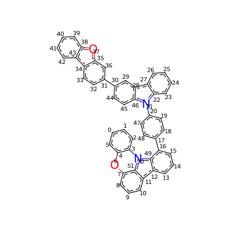 c1ccc2c(c1)Oc1cccc3c4cccc(-c5ccc(-n6c7ccccc7c7cc(-c8ccc9c(c8)oc8ccccc89)ccc76)cc5)c4n-2c13